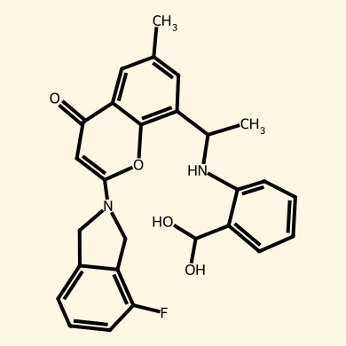 Cc1cc(C(C)Nc2ccccc2C(O)O)c2oc(N3Cc4cccc(F)c4C3)cc(=O)c2c1